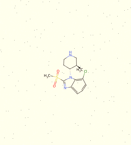 C[C@@H]1CNCC[C@H]1n1c(S(C)(=O)=O)nc2cccc(Cl)c21